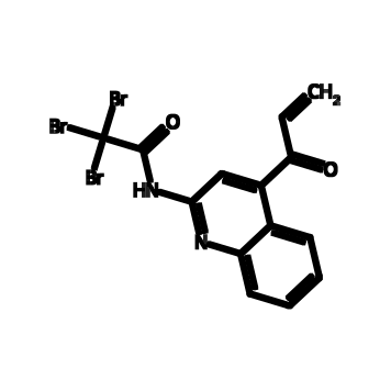 C=CC(=O)c1cc(NC(=O)C(Br)(Br)Br)nc2ccccc12